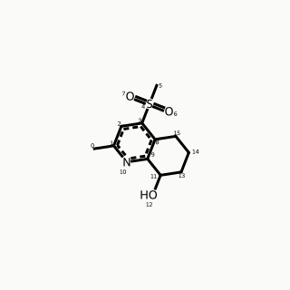 Cc1cc(S(C)(=O)=O)c2c(n1)C(O)CCC2